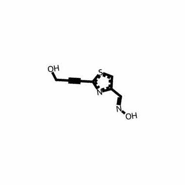 OCC#Cc1nc(/C=N/O)cs1